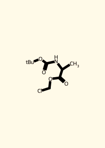 CC(NC(=O)OC(C)(C)C)C(=O)OCCl